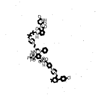 CC1(C)CCC(c2ccc(Cl)cc2)=C(CN2CCN(c3ccc(C(=O)NS(=O)(=O)c4ccc(N[C@H](CCN5CCN(CC(C)(C)CC(C)(C)CNc6cccc7c6C(=O)N(C6CCC(=O)NC6=O)C7=O)CC5)CSc5ccccc5)c(S(=O)(=O)C(F)(F)F)c4)cc3)CC2)C1